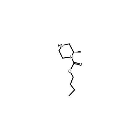 CCCCOC(=O)N1CCNC[C@H]1C